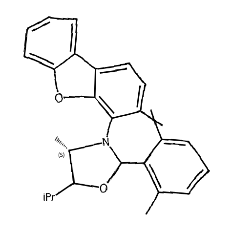 Cc1cccc(C)c1C1OC(C(C)C)[C@H](C)N1c1c(C)ccc2c1oc1ccccc12